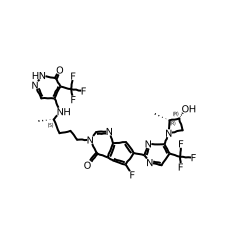 C[C@@H]1[C@H](O)CN1c1nc(-c2cc3ncn(CCC[C@H](C)Nc4cn[nH]c(=O)c4C(F)(F)F)c(=O)c3cc2F)ncc1C(F)(F)F